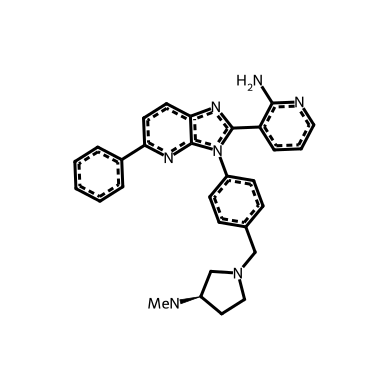 CN[C@@H]1CCN(Cc2ccc(-n3c(-c4cccnc4N)nc4ccc(-c5ccccc5)nc43)cc2)C1